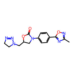 Cc1noc(-c2ccc(N3CC(CN4CCN=N4)OC3=O)cc2)n1